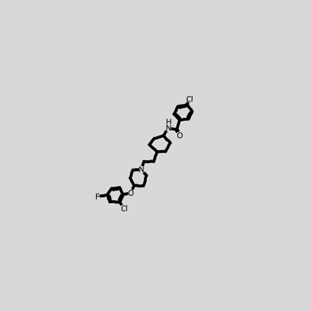 O=C(NC1CCC(CCN2CCC(Oc3ccc(F)cc3Cl)CC2)CC1)c1ccc(Cl)cc1